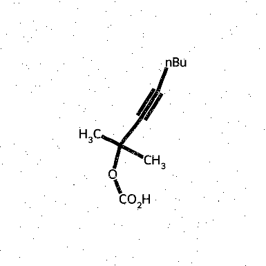 CCCCC#CC(C)(C)OC(=O)O